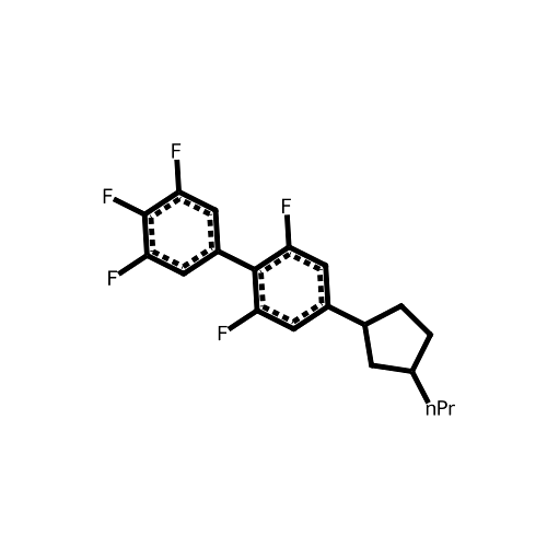 CCCC1CCC(c2cc(F)c(-c3cc(F)c(F)c(F)c3)c(F)c2)C1